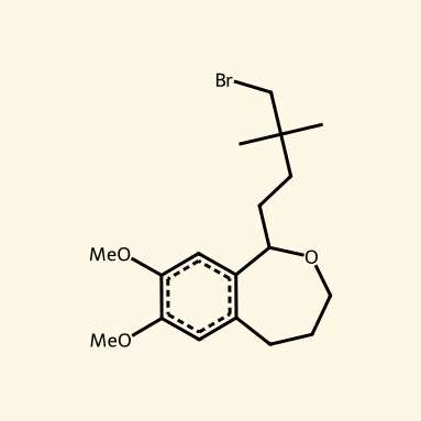 COc1cc2c(cc1OC)C(CCC(C)(C)CBr)OCCC2